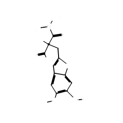 COc1cc2cc(CC(C)(C(=O)O)C(=O)N(C)C)sc2cc1OC